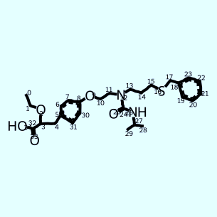 CCOC(Cc1ccc(OCCN(CCCSCc2ccccc2)C(=O)NC(C)C)cc1)C(=O)O